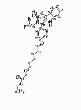 CCOC(=O)COCCCCCCOc1ccc([C@@H]2c3[nH]c4ccccc4c3C[C@@H](C)N2CC(F)F)nc1